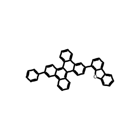 c1ccc(-c2ccc3c(c2)c2ccccc2c2c4ccc(-c5cccc6c5oc5ccccc56)cc4c4ccccc4c32)cc1